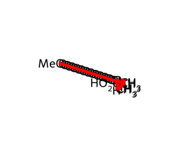 COCCOCCOCCOCCOCCOCCOCCOCCOCCOCCOCCOCCOCCOCCOCCOCCOCCOCCOCCOCCOCCOCCOCCOCCNC(=O)CCCCC[N+]1=C(C=CC=CC=C2N(CCCCCC(=O)O)c3ccccc3C2(C)C)C(C)(C)c2ccccc21